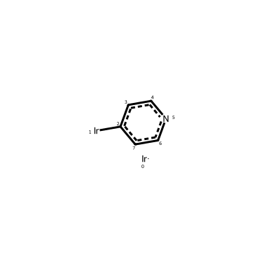 [Ir].[Ir][c]1ccncc1